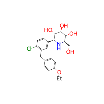 CCOc1ccc(Cc2cc([C@@H]3N[C@H](CO)C(O)[C@H](O)[C@H]3O)ccc2Cl)cc1